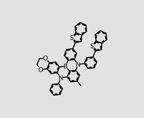 Cc1cc2c3c(c1)N(c1ccccc1)c1cc4c(cc1B3c1ccc(-c3cc5ccccc5s3)cc1N2c1cccc(-c2cc3ccccc3s2)c1)OCCO4